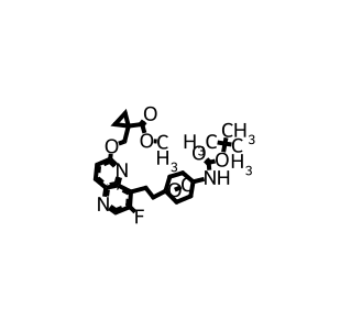 COC(=O)C1(COc2ccc3ncc(F)c(CCC45CCC(NC(=O)OC(C)(C)C)(CC4)CO5)c3n2)CC1